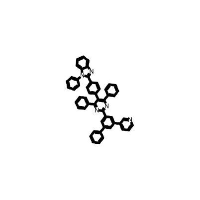 c1ccc(-c2cc(-c3cccnc3)cc(-c3nc(-c4ccccc4)c(-c4ccc(-c5nc6ccccc6n5-c5ccccc5)cc4)c(-c4ccccc4)n3)c2)cc1